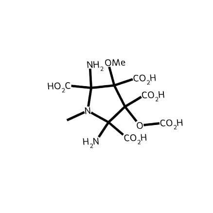 COC1(C(=O)O)C(N)(C(=O)O)N(C)C(N)(C(=O)O)C1(OC(=O)O)C(=O)O